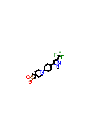 Cn1nc(C(F)(F)F)cc1C1CCC(N2CCC3(CC2)CS(=O)(=O)C3)CC1